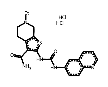 CCN1CCc2c(sc(NC(=O)Nc3ccc4ncccc4c3)c2C(N)=O)C1.Cl.Cl